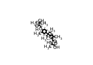 CCC(CC)(c1ccc(OCC(O)C(C)(C)C)c(C)c1)c1cc(C)c(C(=O)N[C@@H](C)C(=O)O)s1